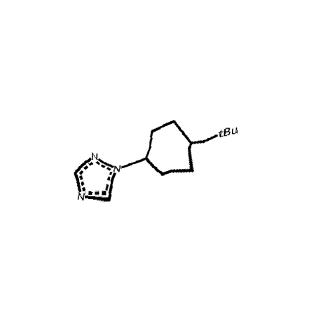 CC(C)(C)C1CCC(n2cncn2)CC1